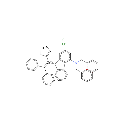 C1=CC[C]([Zr+2](=[C](c2ccccc2)c2ccccc2)[CH]2c3ccccc3-c3c2cccc3N(Cc2ccccc2)Cc2ccccc2)=C1.[Cl-].[Cl-]